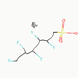 O=S(=O)([O-])CC(F)C(F)C(F)C(F)CF.[Na+]